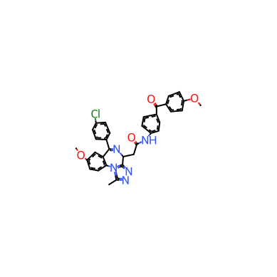 COc1ccc(C(=O)c2ccc(NC(=O)CC3N=C(c4ccc(Cl)cc4)c4cc(OC)ccc4-n4c(C)nnc43)cc2)cc1